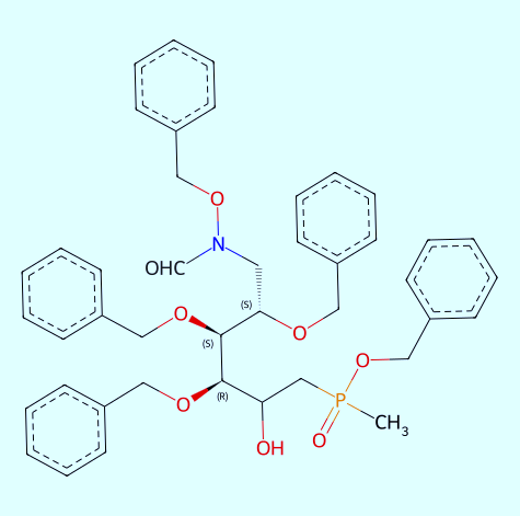 CP(=O)(CC(O)[C@@H](OCc1ccccc1)[C@@H](OCc1ccccc1)[C@H](CN(C=O)OCc1ccccc1)OCc1ccccc1)OCc1ccccc1